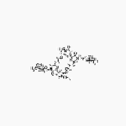 CN1CCN(c2nc(CCCOCC3CN(c4nc(CCC=O)cn(COCC[Si](C)(C)C)c4=O)CC(=O)N3C)cn(COCC[Si](C)(C)C)c2=O)CC1=O